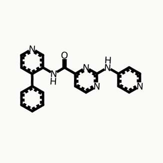 O=C(Nc1cnccc1-c1ccccc1)c1ccnc(Nc2ccncc2)n1